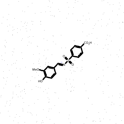 COc1cc(/C=N/S(=O)(=O)c2ccc(C(=O)O)cc2)ccc1O